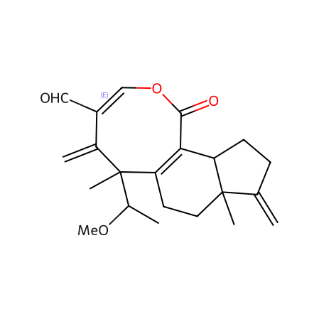 C=C1CCC2C3=C(CCC12C)C(C)(C(C)OC)C(=C)/C(C=O)=C\OC3=O